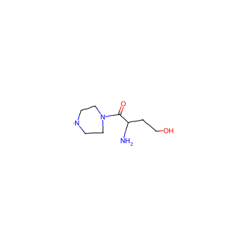 NC(CCO)C(=O)N1CC[N]CC1